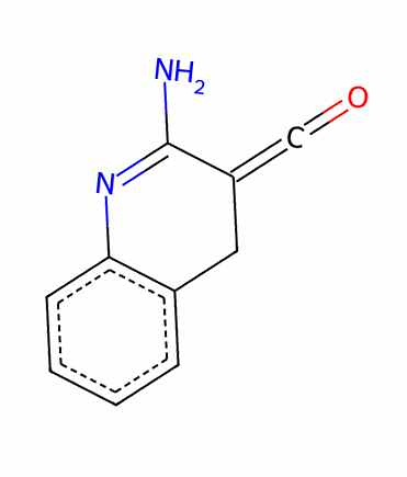 NC1=Nc2ccccc2CC1=C=O